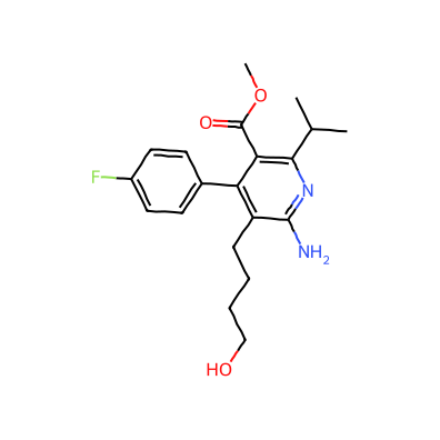 COC(=O)c1c(C(C)C)nc(N)c(CCCCO)c1-c1ccc(F)cc1